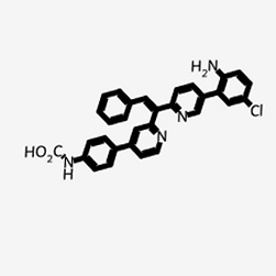 Nc1ccc(Cl)cc1-c1ccc(C(=Cc2ccccc2)c2cc(-c3ccc(NC(=O)O)cc3)ccn2)nc1